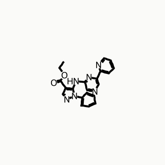 CCOC(=O)c1cnn(-c2ccccc2)c1Nc1cncc(-c2ccccn2)n1